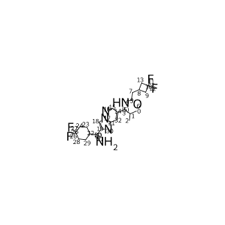 CC(C)[C@H](NC(=O)CC1CC(F)(F)C1)c1cnn2cc([C@@H](N)C3CCC(F)(F)CC3)nc2c1